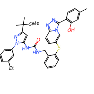 CCc1cccc(-n2nc(C(C)(C)SC)cc2NC(=O)NCc2ccccc2Sc2ccc3nnc(-c4ccc(C)cc4O)n3c2)c1